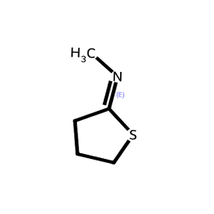 C/N=C1\CCCS1